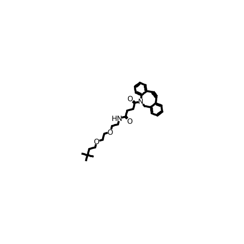 CC(C)(C)CCOCCOCCNC(=O)CCC(=O)N1Cc2ccccc2C#Cc2ccccc21